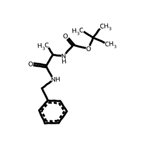 CC(NC(=O)OC(C)(C)C)C(=O)NCc1ccccc1